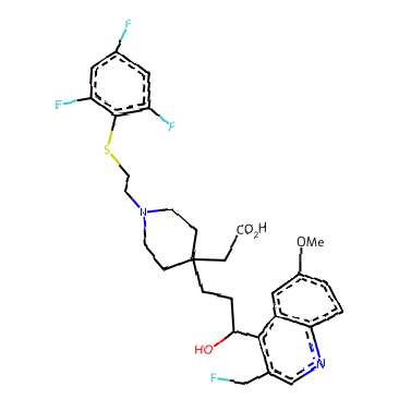 COc1ccc2ncc(CF)c(C(O)CCC3(CC(=O)O)CCN(CCSc4c(F)cc(F)cc4F)CC3)c2c1